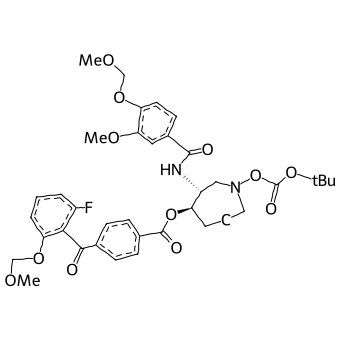 COCOc1ccc(C(=O)N[C@@H]2CN(OC(=O)OC(C)(C)C)CCC[C@H]2OC(=O)c2ccc(C(=O)c3c(F)cccc3OCOC)cc2)cc1OC